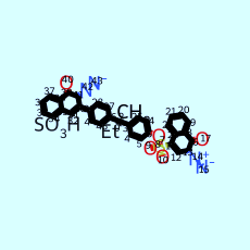 CCC(C)(c1ccc(OS(=O)(=O)C2=CC(=[N+]=[N-])C(=O)c3ccccc32)cc1)c1ccc(C2=C(S(=O)(=O)O)c3ccccc3C(=O)C2=[N+]=[N-])cc1